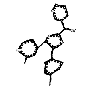 OC(c1cccnc1)c1nc(-c2ccc(F)cc2)c(-c2ccnc(F)c2)s1